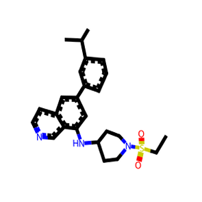 CCS(=O)(=O)N1CCC(Nc2cc(-c3cccc(C(C)C)c3)cc3ccncc23)CC1